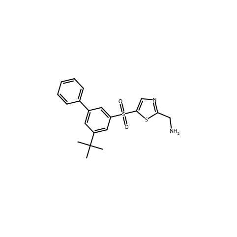 CC(C)(C)c1cc(-c2ccccc2)cc(S(=O)(=O)c2cnc(CN)s2)c1